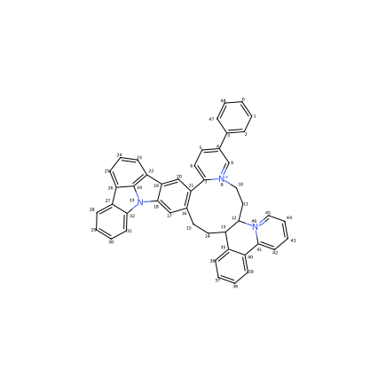 c1ccc(-c2ccc3[n+](c2)CCC2C(CCc4cc5c(cc4-3)c3cccc4c6ccccc6n5c43)c3ccccc3-c3cccc[n+]32)cc1